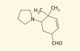 CC1(C)C=CC(C=O)CC1N1CCCC1